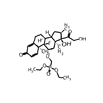 CCOP(=O)(CO[C@H]1C[C@@]2(C)[C@@H](C[C@@H](C)[C@]2(O)C(=O)CO)[C@@H]2CCC3=CC(=O)C=C[C@]3(C)[C@@]12F)OCC